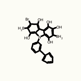 Bc1c(O)c(O)c2c3c(O)c(Br)c(B)c(O)c3n(-c3cccc(-c4ccccc4)c3)c2c1O